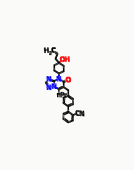 C=CC[C@]1(O)CC[C@@H](n2c(=O)c(Cc3ccc(-c4ccccc4C#N)cc3)c(CCC)n3ncnc32)CC1